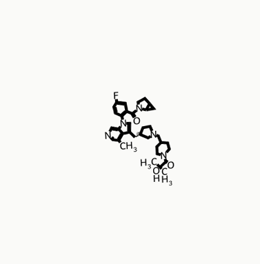 Cc1cncc2c1c(C[C@@H]1CCN(CC3CCN(C(=O)C(C)(C)O)CC3)C1)cn2-c1ccc(F)cc1C(=O)N1CCC2CC21